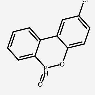 O=[PH]1Oc2ccc(Cl)cc2-c2ccccc21